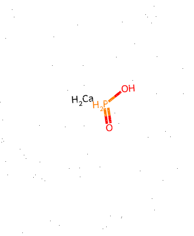 O=[PH2]O.[CaH2]